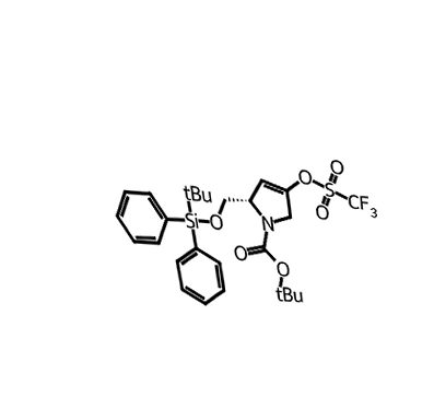 CC(C)(C)OC(=O)N1CC(OS(=O)(=O)C(F)(F)F)=C[C@H]1CO[Si](c1ccccc1)(c1ccccc1)C(C)(C)C